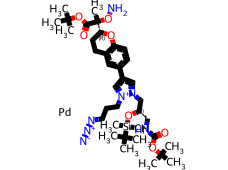 CC(C)(C)OC(=O)NC[C@@H](Cn1cc(-c2ccc3c(c2)CC[C@H](C(C)(ON)C(=O)OC(C)(C)C)O3)c[n+]1CCCN=[N+]=[N-])O[Si](C)(C)C(C)(C)C.[Pd]